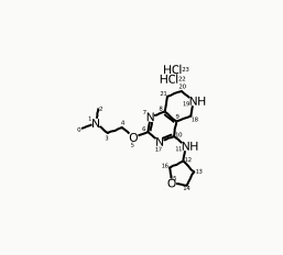 CN(C)CCOc1nc2c(c(NC3CCOC3)n1)CNCC2.Cl.Cl